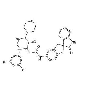 O=C(CN1C(=O)C(C2CCOCC2)NC[C@H]1c1cc(F)cc(F)c1)Nc1ccc2c(c1)CC1(C2)C(=O)Nc2ncccc21